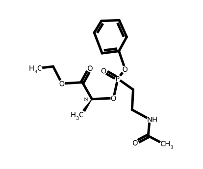 CCOC(=O)[C@H](C)OP(=O)(CCNC(C)=O)Oc1ccccc1